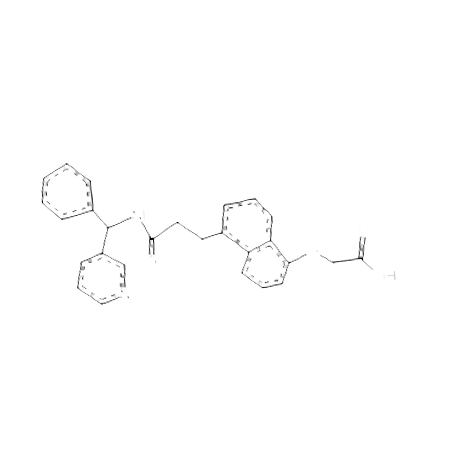 O=C(O)COc1cccc2c(CCC(=O)NC(c3ccccc3)c3cccnc3)cccc12